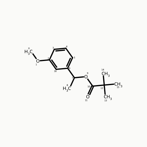 COc1cccc(C(C)OC(=O)C(C)(C)C)c1